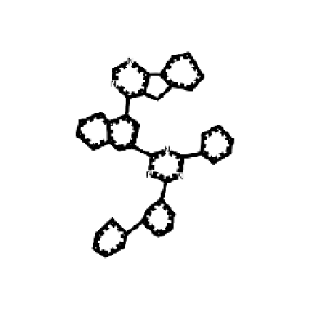 c1ccc(-c2cccc(-c3nc(-c4ccccc4)nc(-c4cc(-c5ncnc6c5Cc5ccccc5-6)c5ccccc5c4)n3)c2)cc1